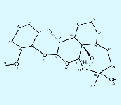 COC1CCCCC1OC1O[C@@H]2OC(C)(O)CCC3CCCC([C@H]1C)[C@]32O